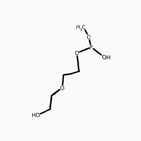 COP(O)OCCOCCO